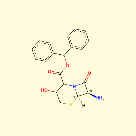 N[C@@H]1C(=O)N2C(C(=O)OC(c3ccccc3)c3ccccc3)C(O)CS[C@H]12